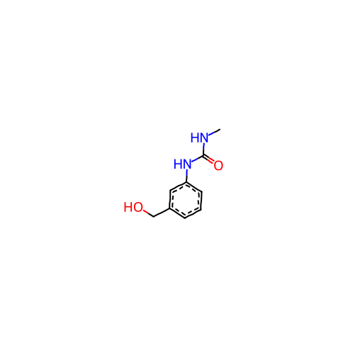 CNC(=O)Nc1cccc(CO)c1